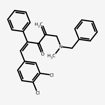 C=C(CN(C)Cc1ccccc1)C(=O)/C(=C\c1ccc(Cl)c(Cl)c1)c1ccccc1